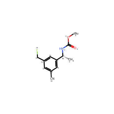 C[C@@H](NC(=O)OC(C)(C)C)c1cc(C#N)cc(CF)c1